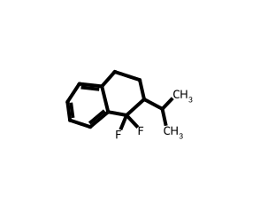 CC(C)C1CCc2ccccc2C1(F)F